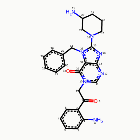 Nc1ccccc1C(=O)Cn1cnc2nc(N3CCCC(N)C3)n(Cc3ccccc3)c2c1=O